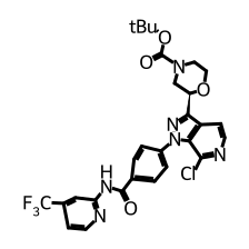 CC(C)(C)OC(=O)N1CCO[C@@H](c2nn(-c3ccc(C(=O)Nc4cc(C(F)(F)F)ccn4)cc3)c3c(Cl)nccc23)C1